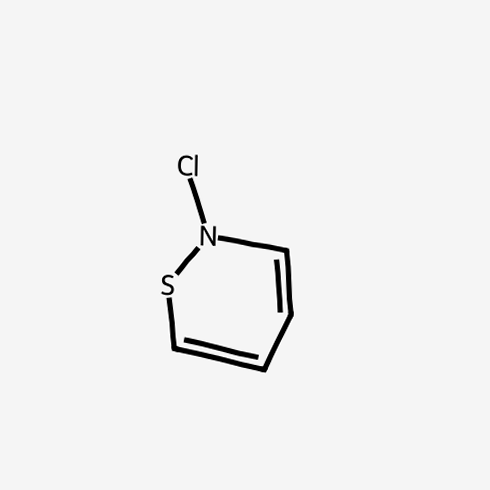 ClN1C=CC=CS1